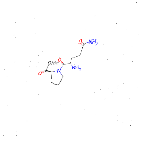 COC(=O)[C@@H]1CCCN1C(=O)[C@@H](N)CCC(N)=O